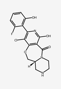 O=C1c2c(O)nc(-c3c(O)cccc3F)c(Cl)c2OC[C@H]2CNCCN12